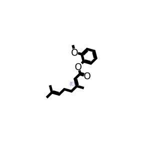 COc1ccccc1OC(=O)/C=C(\C)CCC=C(C)C